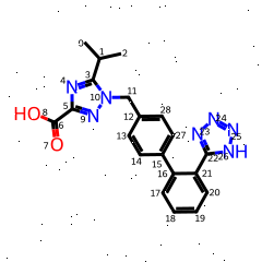 CC(C)c1nc(C(=O)O)nn1Cc1ccc(-c2ccccc2-c2nnn[nH]2)cc1